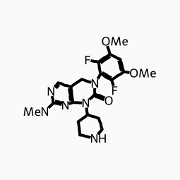 CNc1ncc2c(n1)N(C1CCNCC1)C(=O)N(c1c(F)c(OC)cc(OC)c1F)C2